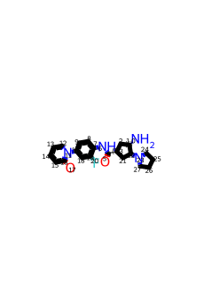 N[C@H]1C[C@@H](C(=O)Nc2ccc(-n3ccccc3=O)cc2F)CC1N1CCCC1